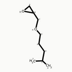 CC(C)CCCOCC1CO1